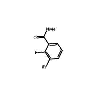 CNC(=O)c1cccc(C(C)C)c1F